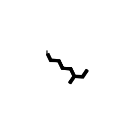 CCC(C)CCCCI